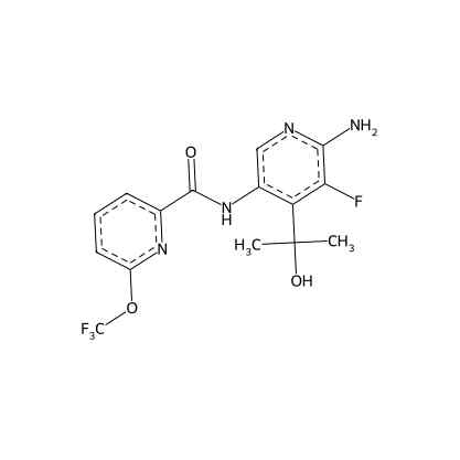 CC(C)(O)c1c(NC(=O)c2cccc(OC(F)(F)F)n2)cnc(N)c1F